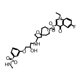 CCn1cc(S(=O)(=O)N2CCC3(CC2)CC(NCC(O)COc2cccc(S(=O)(=O)NC)c2)CO3)c(=O)c2cc(F)ccc21